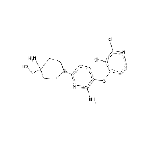 Nc1nc(N2CCC(N)(CO)CC2)cnc1Sc1ccnc(Cl)c1Cl